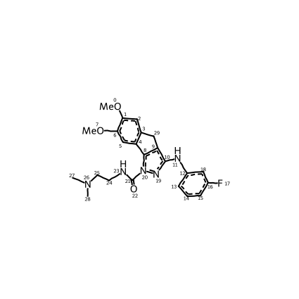 COc1cc2c(cc1OC)-c1c(c(Nc3cccc(F)c3)nn1C(=O)NCCN(C)C)C2